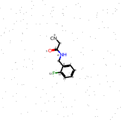 [C-]#[N+]CC(=O)NCc1ccccc1F